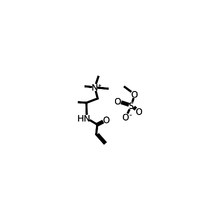 C=CC(=O)NC(C)C[N+](C)(C)C.COS(=O)(=O)[O-]